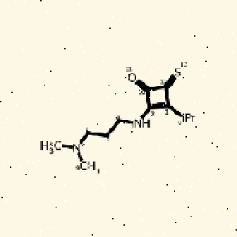 CC(C)c1c(NCCCN(C)C)c(=O)c1=S